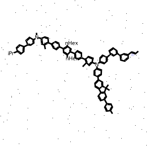 C/C=C/c1cccc(-c2cccc(-c3ccc(N(c4ccc(-c5ccc6c(c5)C(C)(C)c5cc(-c7ccc(C)cc7)ccc5-6)cc4)c4ccc(-c5ccc(-c6cc(CCCCCC)c(-c7ccc(-c8ccc(N(C)c9ccc(-c%10ccc(C(C)C)cc%10)cc9)cc8C)cc7)cc6CCCCCC)cc5)c(C)c4)cc3)c2)c1